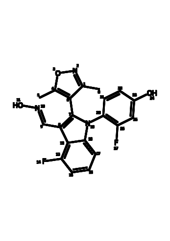 Cc1noc(C)c1-c1c(/C=N/O)c2c(F)cccc2n1-c1ccc(O)cc1F